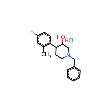 Cc1cc(F)ccc1C1CCN(Cc2ccccc2)CC1O.Cl